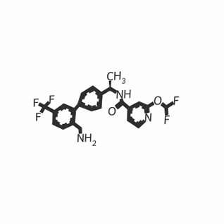 C[C@@H](NC(=O)c1ccnc(OC(F)F)c1)c1ccc(-c2cc(C(F)(F)F)ccc2CN)cc1